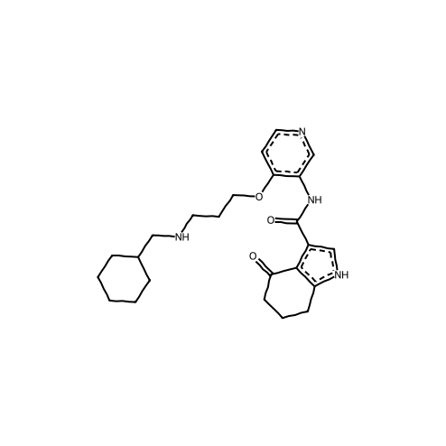 O=C(Nc1cnccc1OCCCNCC1CCCCC1)c1c[nH]c2c1C(=O)CCC2